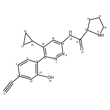 C#Cc1ccc(-c2nnc(NC(=O)C3CCCN3)cc2C2CC2)c(O)c1